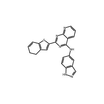 C1=Cc2sc(-c3nc(Nc4ccc5[nH]ncc5c4)c4cccnc4n3)cc2CC1